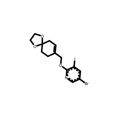 Brc1cnc(OCC2=CCC3(CC2)OCCO3)c(I)c1